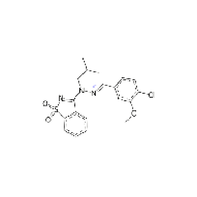 COc1cc(/C=N/N(CC(C)C)C2=NS(=O)(=O)c3c[c]ccc32)ccc1Cl